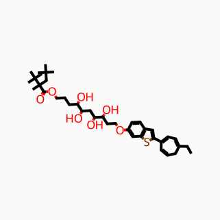 CCC1=CC=C(c2cc3ccc(OCCC(O)C(O)CC(O)C(O)CCCOC(=O)C(C)(CC(C)(C)C)C(C)(C)C)cc3s2)C=CC1